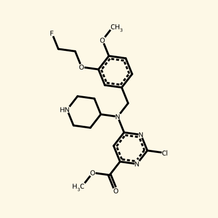 COC(=O)c1cc(N(Cc2ccc(OC)c(OCCF)c2)C2CCNCC2)nc(Cl)n1